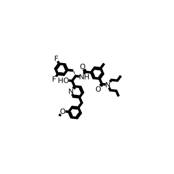 CCCN(CCC)C(=O)c1cc(C)cc(C(=O)N[C@@H](Cc2cc(F)cc(F)c2)C(O)c2ccc(Cc3cccc(OC)c3)cn2)c1